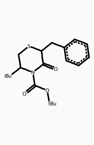 CCC(C)C1CSC(Cc2ccccc2)C(=O)N1C(=O)OC(C)(C)C